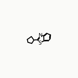 c1ccc2sc(C3CCCC3)nc2c1